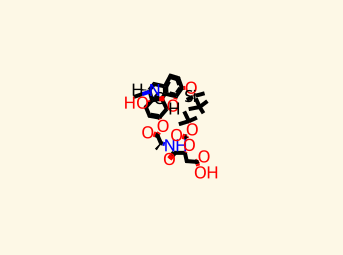 C[C@H](NC(=O)C(CC(=O)O)OC(=O)OC(C)(C)C)C(=O)OC1=CC[C@@]2(O)[C@H]3Cc4ccc(O[Si](C)(C)C(C)(C)C)c5c4[C@@]2(CCN3C)[C@H]1O5